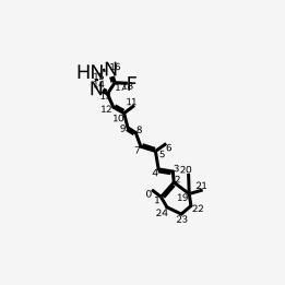 CC1=C(/C=C/C(C)=C/C=C/C(C)=C/c2n[nH]nc2F)C(C)(C)CCC1